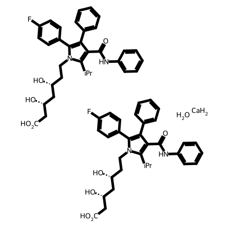 CC(C)c1c(C(=O)Nc2ccccc2)c(-c2ccccc2)c(-c2ccc(F)cc2)n1CC[C@@H](O)C[C@@H](O)CC(=O)O.CC(C)c1c(C(=O)Nc2ccccc2)c(-c2ccccc2)c(-c2ccc(F)cc2)n1CC[C@@H](O)C[C@@H](O)CC(=O)O.O.[CaH2]